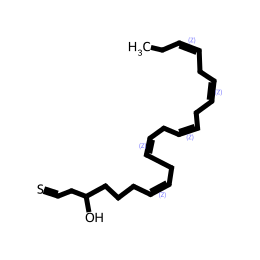 CC/C=C\C/C=C\C/C=C\C/C=C\C/C=C\CCCC(O)CC=S